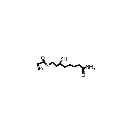 CC(C)CC(=O)SCCC(S)CCCCC(N)=O